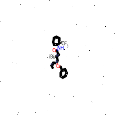 C\C=C/C(=C\C(=C\C(=O)NC1=CCC=CC=C1C(F)(F)F)C(C)CC)OCC1=CC=CCC=C1